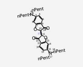 CCCCCN(CCCCC)c1ccc2c(c1)O/C(=C1/Oc3cc(N(CCCCC)CCCCC)ccc3C1=O)C2=O